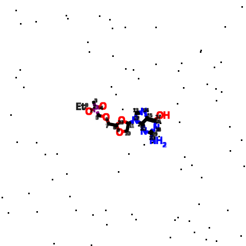 CCOP(C)(=O)COCC1OCC(n2cnc3c(O)nc(N)nc32)O1